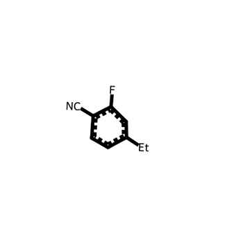 [CH2]Cc1ccc(C#N)c(F)c1